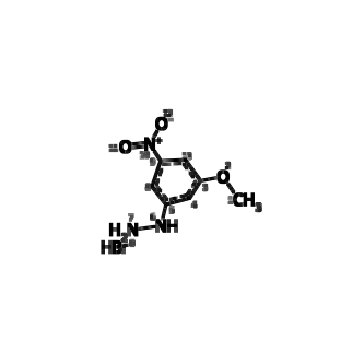 Br.COc1cc(NN)cc([N+](=O)[O-])c1